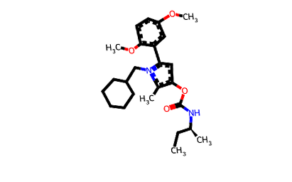 CC[C@H](C)NC(=O)Oc1cc(-c2cc(OC)ccc2OC)n(CC2CCCCC2)c1C